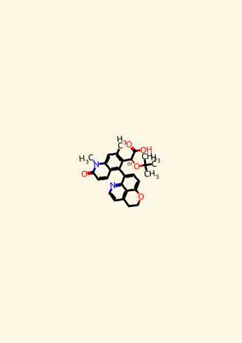 Cc1cc2c(ccc(=O)n2C)c(-c2ccc3c4c(ccnc24)CCO3)c1[C@H](OC(C)(C)C)C(=O)O